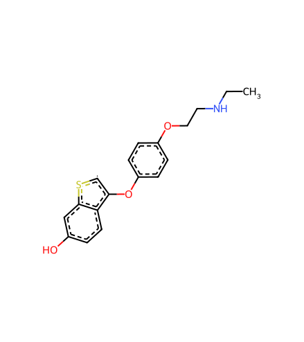 CCNCCOc1ccc(Oc2[c]sc3cc(O)ccc23)cc1